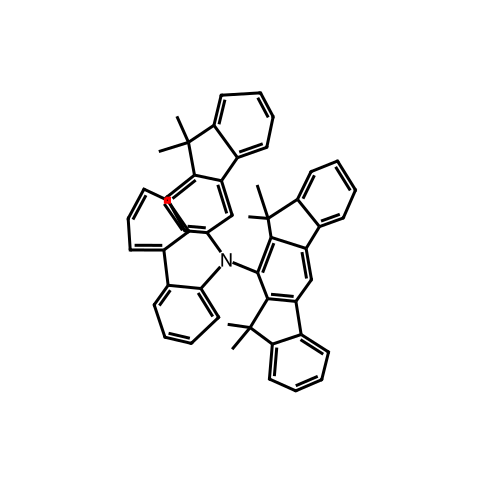 CC1(C)c2ccccc2-c2cc(N(c3ccccc3-c3ccccc3)c3c4c(cc5c3C(C)(C)c3ccccc3-5)-c3ccccc3C4(C)C)ccc21